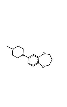 CN1CCN(c2[c]cc3c(c2)OCCCO3)CC1